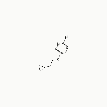 Clc1ccc(OCCC2CC2)nn1